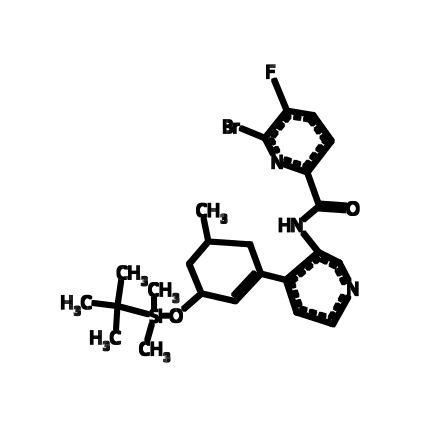 CC1CC(c2ccncc2NC(=O)c2ccc(F)c(Br)n2)=CC(O[Si](C)(C)C(C)(C)C)C1